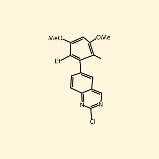 CCc1c(OC)cc(OC)c(C)c1-c1ccc2nc(Cl)ncc2c1